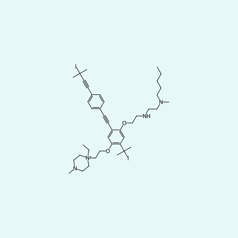 CCCCCN(C)CCNCCOc1cc(C(C)(C)I)c(OCC[N+]2(CC)CCN(C)CC2)cc1C#Cc1ccc(C#CC(C)(C)I)cc1